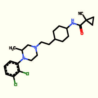 CC1CN(CCC2CCC(NC(=O)C3(C#N)CC3)CC2)CCN1c1cccc(Cl)c1Cl